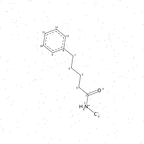 [CH2-][NH2+]C(=O)CCCCc1ccccc1